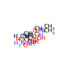 COc1c(CNCC(C)C)cc(O)c2c1C[C@H]1C[C@H]3[C@H](N(C)C)C(O)=C(C(N)=O)C(=N)[C@@]3(O)C(O)=C1C2=O